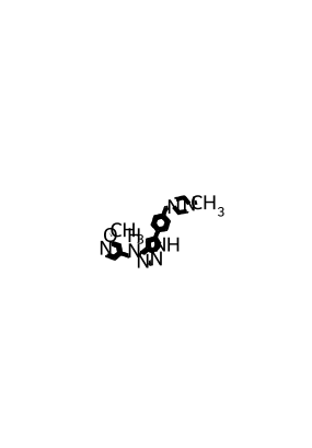 COc1cc(CNc2ncnc3[nH]c(-c4ccc(CN5CCN(C)CC5)cc4)cc23)ccn1